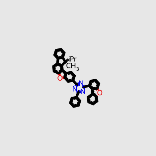 CC(C)C1(C)c2ccccc2-c2ccc3oc4cc(-c5nc(-c6ccccc6)nc(-c6cccc7oc8ccccc8c67)n5)ccc4c3c21